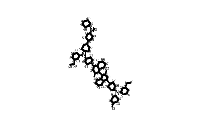 C=Cc1cccc(N(c2ccc(C)cc2)c2ccc(-c3cc(C)c(-c4c(C)cc(-c5ccc(N(c6ccc(-c7ccc(N(C)c8ccccc8)cc7)cc6)c6cccc(C=C)c6)cc5)c5ccccc45)c4ccccc34)cc2)c1